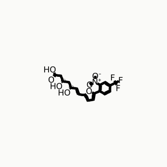 O=C(O)C[C@@H](O)C[C@H](O)C=Cc1ccc(-c2ccc(C(F)(F)F)cc2[N+](=O)[O-])o1